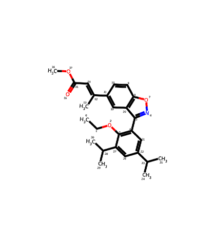 CCOc1c(-c2noc3ccc(/C(C)=C/C(=O)OC)cc23)cc(C(C)C)cc1C(C)C